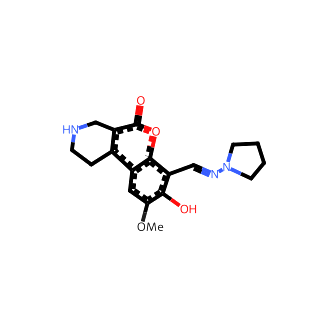 COc1cc2c3c(c(=O)oc2c(/C=N/N2CCCC2)c1O)CNCC3